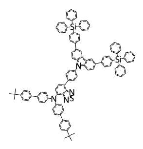 CC(C)(C)c1ccc(-c2ccc(N(c3ccc(-c4ccc(C(C)(C)C)cc4)cc3)c3ccc(-c4ccc(-n5c6ccc(-c7ccc([Si](c8ccccc8)(c8ccccc8)c8ccccc8)cc7)cc6c6cc(-c7ccc([Si](c8ccccc8)(c8ccccc8)c8ccccc8)cc7)ccc65)cc4)c4nsnc34)cc2)cc1